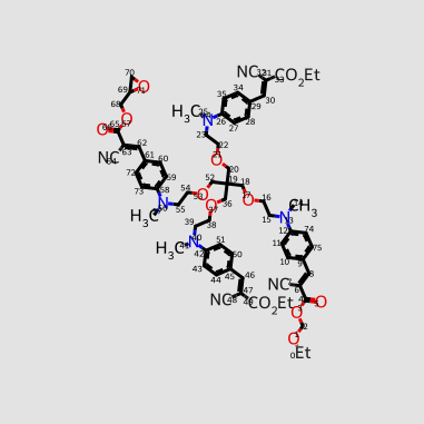 CCOCOC(=O)/C(C#N)=C/c1ccc(N(C)CCOCC(COCCN(C)c2ccc(/C=C(\C#N)C(=O)OCC)cc2)(COCCN(C)c2ccc(/C=C(\C#N)C(=O)OCC)cc2)COCCN(C)c2ccc(/C=C(\C#N)C(=O)OCC3CO3)cc2)cc1